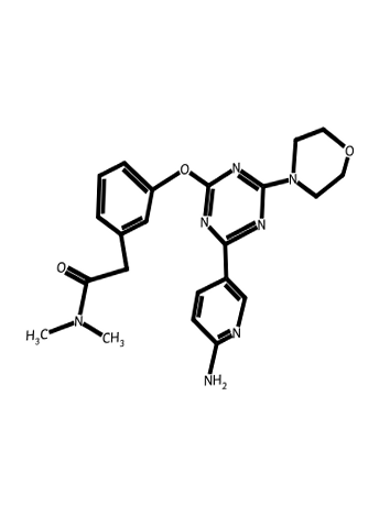 CN(C)C(=O)Cc1cccc(Oc2nc(-c3ccc(N)nc3)nc(N3CCOCC3)n2)c1